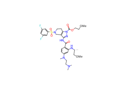 COCCOC(=O)n1nc(NC(=O)c2ccc(N(C)CCN(C)C)cc2N[C@H](C)COC)c2c1CCN(S(=O)(=O)c1cc(F)cc(F)c1)C2